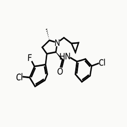 C[C@H]1CC(c2cccc(Cl)c2F)[C@H](C(=O)Nc2cccc(Cl)c2)N1CC1CC1